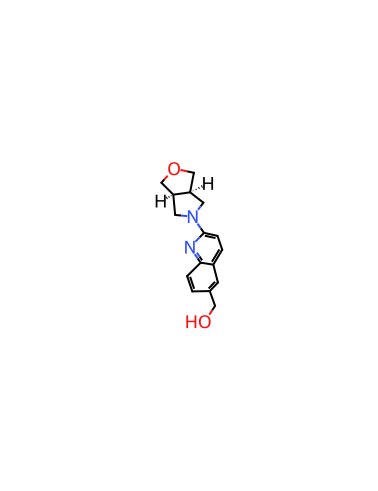 OCc1ccc2nc(N3C[C@H]4COC[C@H]4C3)ccc2c1